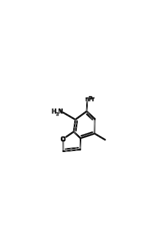 CCCc1cc(C)c2ccoc2c1N